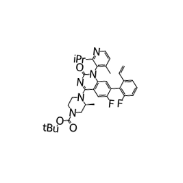 C=Cc1cccc(F)c1-c1cc2c(cc1F)c(N1CCN(C(=O)OC(C)(C)C)C[C@@H]1C)nc(=O)n2-c1c(C)ccnc1C(C)C